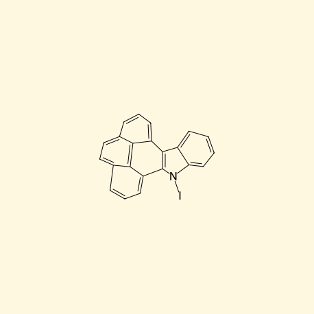 In1c2ccccc2c2c3cccc4ccc5cccc(c5c43)c21